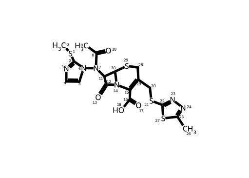 CSc1nccn1N(C(C)=O)C1C(=O)N2C(C(=O)O)=C(CSc3nnc(C)s3)CSC12